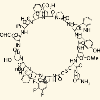 CCCC[C@H]1C(=O)N2C[C@H](O)C[C@@H]2C(=O)N[C@@H](COC=O)C(=O)N[C@@H](C(C)C)C(=O)N(C)[C@@H](Cc2ccccc2)C(=O)N[C@@H](CCC(=O)O)C(=O)N2CCC[C@@H]2C(=O)N[C@@H](Cc2c[nH]c3ccccc23)C(=O)N[C@@H](Cc2ccc(O)cc2)C(=O)N[C@@H](CCOC)C(=O)N[C@H](C(=O)NCC(N)=O)CSCC(=O)N[C@@H](Cc2cc(F)c(F)c(F)c2)C(=O)N(C)[C@@H](Cc2ccccc2)C(=O)N1C